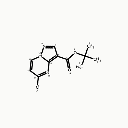 CC(C)(C)OC(=O)c1cnn2ccc(Cl)nc12